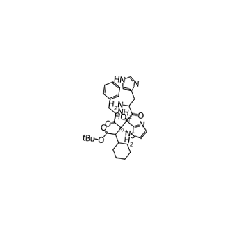 CC(C)(C)OC(=O)C(C1CCCCC1)[C@@](N)(C(=O)C(N)Cc1ccccc1)[C@@](O)(C(=O)C(N)Cc1c[nH]cn1)c1nccs1